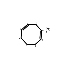 C1=CCCCC=CC1.[Pt]